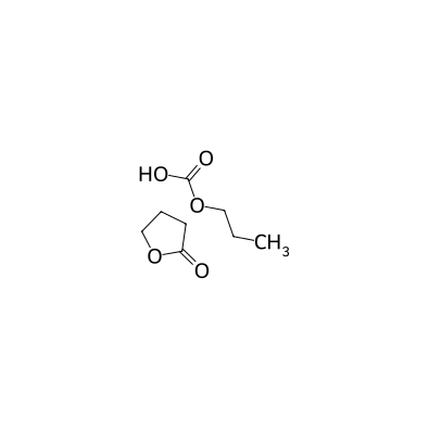 CCCOC(=O)O.O=C1CCCO1